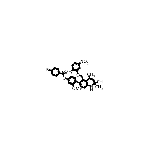 COc1ccc([N+](=O)[O-])cc1OCc1c(-c2ccc(OC(=O)c3ccc(F)cc3)cc2OC)ccc2c1C(C)=CC(C)(C)N2